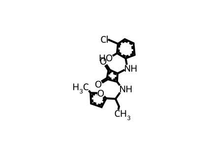 CCC(Nc1c(Nc2cccc(Cl)c2O)c(=O)c1=O)c1ccc(C)o1